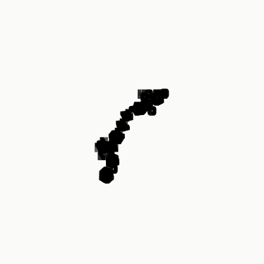 Nc1ncnc2c1c(-c1ccc(Oc3ccccc3)cc1)nn2C1CCN(C2CN(C3CN(Cc4ccc5c(c4)C(=O)N(C4CCC(=O)NC4O)C5=O)C3)C2)CC1